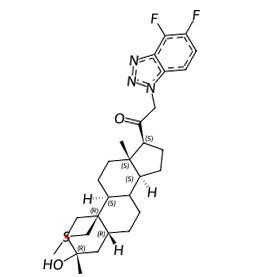 CSC[C@]12CC[C@@](C)(O)C[C@H]1CCC1[C@@H]3CC[C@H](C(=O)Cn4nnc5c(F)c(F)ccc54)[C@@]3(C)CC[C@@H]12